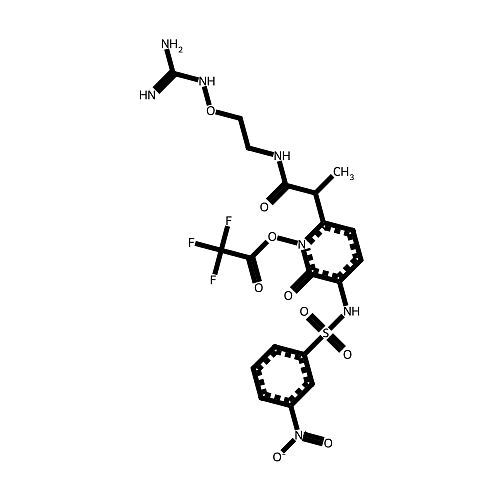 CC(C(=O)NCCONC(=N)N)c1ccc(NS(=O)(=O)c2cccc([N+](=O)[O-])c2)c(=O)n1OC(=O)C(F)(F)F